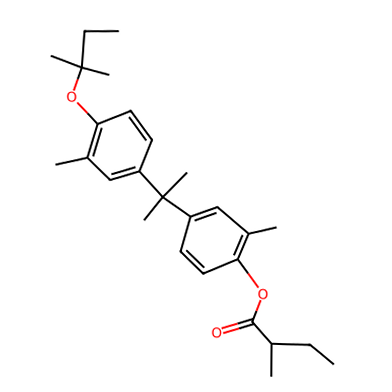 CCC(C)C(=O)Oc1ccc(C(C)(C)c2ccc(OC(C)(C)CC)c(C)c2)cc1C